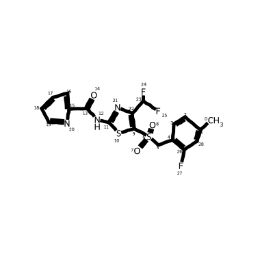 Cc1ccc(CS(=O)(=O)c2sc(NC(=O)c3ccccn3)nc2C(F)F)c(F)c1